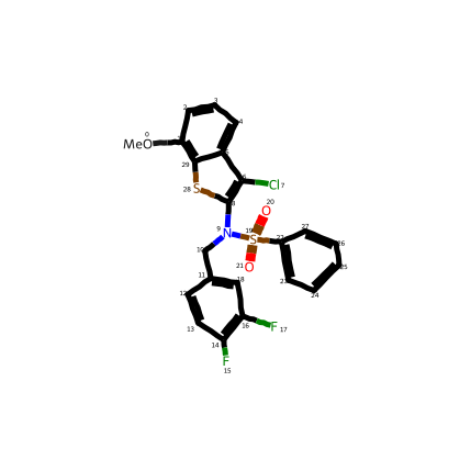 COc1cccc2c(Cl)c(N(Cc3ccc(F)c(F)c3)S(=O)(=O)c3ccccc3)sc12